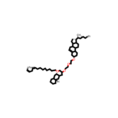 CCCCC/C=C\C/C=C\CCCCCCCCOCC(CC1CCC2CCCC[C@H]2C1)OCCOCCO[C@H]1CCC2C(=CCC3C2CCC2C3CC[C@@H]2[C@H](C)CCCC(C)C)C1